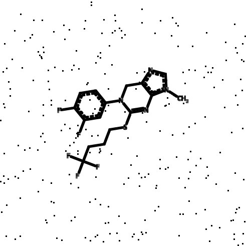 Cn1cnc2c1N=C(SCCCC(F)(F)F)N(c1ccc(F)c(F)c1)C2